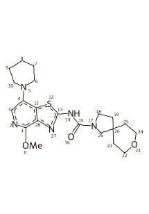 COc1ncc(N2CCCCC2)c2sc(NC(=O)N3CCC4(CCOCC4)C3)nc12